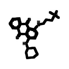 C[N+](C)(C)CCCNc1ccc(NC2CCCCC2)c2c1C(=O)c1ccccc1C2=O